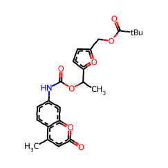 Cc1cc(=O)oc2cc(NC(=O)OC(C)c3ccc(COC(=O)C(C)(C)C)o3)ccc12